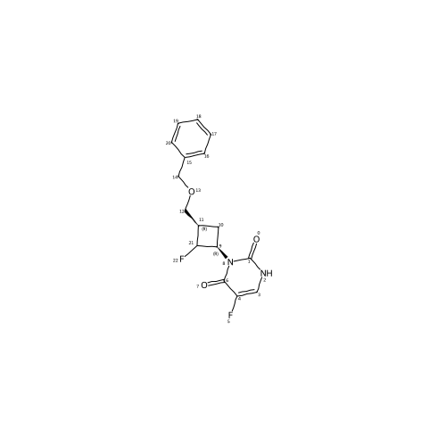 O=c1[nH]cc(F)c(=O)n1[C@@H]1C[C@H](COCc2ccccc2)C1F